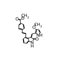 COC(=O)c1ccc(C=Cc2cccc3c2C(=Cc2[nH]ccc2OC)C(=O)N3)cc1